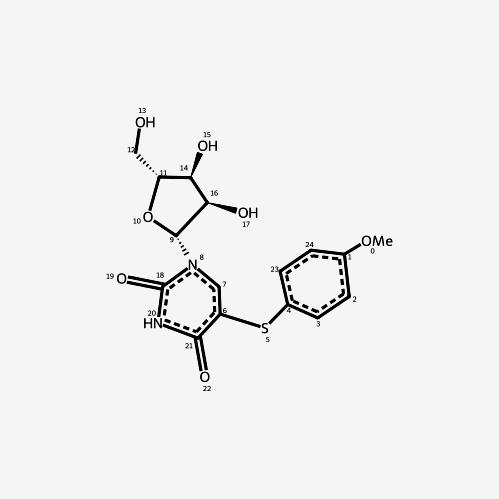 COc1ccc(Sc2cn([C@@H]3O[C@H](CO)[C@@H](O)[C@H]3O)c(=O)[nH]c2=O)cc1